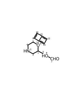 CC1CNCCO1.O=CO.c1cc2ccc1-2